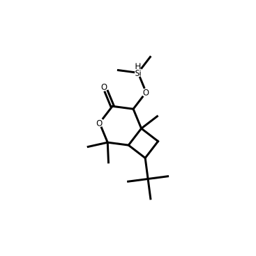 C[SiH](C)OC1C(=O)OC(C)(C)C2C(C(C)(C)C)CC12C